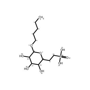 CCCCCOC1OC(CCP(=O)(O)O)C(O)C(O)C1O